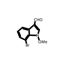 COn1cc(C=O)c2cccc(Br)c21